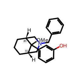 COC1(c2cccc(O)c2)[C@@H]2CCC[C@H]1CN(Cc1ccccc1)C2